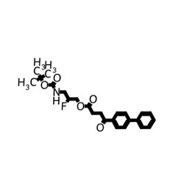 CC(C)(C)OC(=O)NCC(F)COC(=O)CCC(=O)c1ccc(-c2ccccc2)cc1